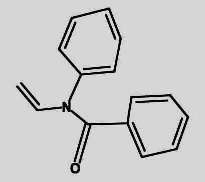 C=CN(C(=O)c1ccccc1)c1ccccc1